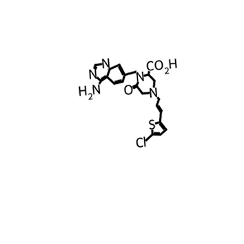 Nc1ncnc2cc(CN3C(=O)CN(CC=Cc4ccc(Cl)s4)CC3C(=O)O)ccc12